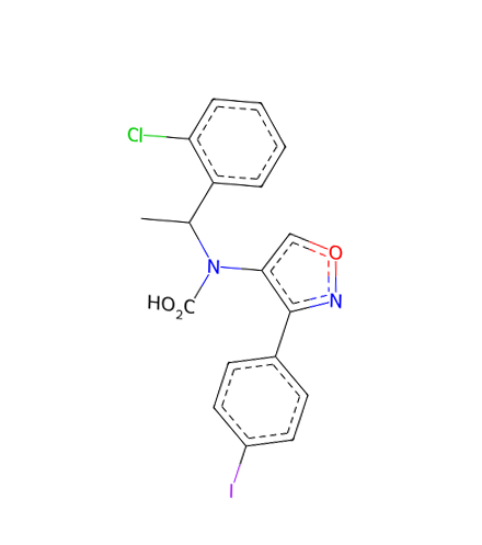 CC(c1ccccc1Cl)N(C(=O)O)c1conc1-c1ccc(I)cc1